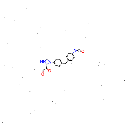 O=C=Nc1ccc(Cc2ccc(N3CNC3C(=O)C=O)cc2)cc1